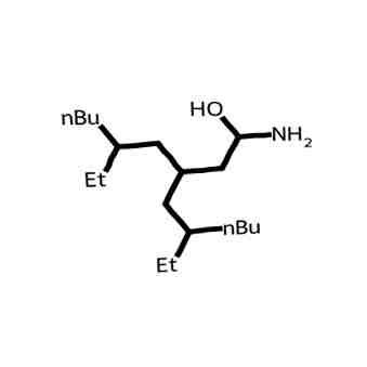 CCCCC(CC)CC(CC(N)O)CC(CC)CCCC